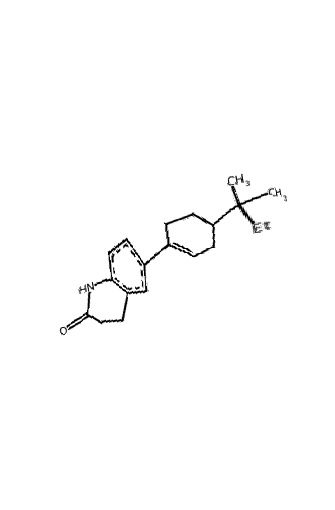 CCC(C)(C)C1CC=C(c2ccc3c(c2)CCC(=O)N3)CC1